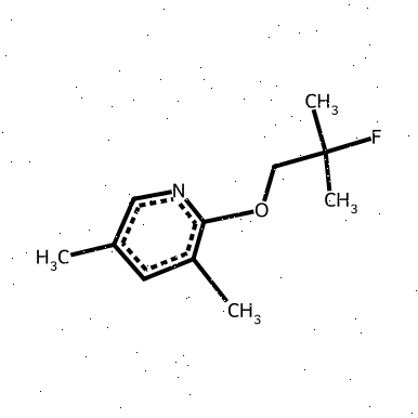 Cc1cnc(OCC(C)(C)F)c(C)c1